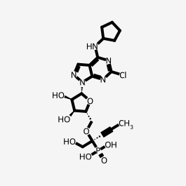 CC#C[C@](CO)(OC[C@H]1O[C@@H](n2ncc3c(NC4CCCC4)nc(Cl)nc32)[C@H](O)[C@@H]1O)P(=O)(O)O